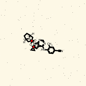 Cc1cc(C#N)ccc1Nc1ncnc2c1ccn2C1C[C@@H]2CC[C@@H](C1)N2C(=O)OC1(C)CC1